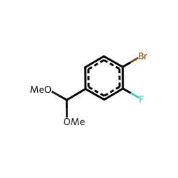 COC(OC)c1ccc(Br)c(F)c1